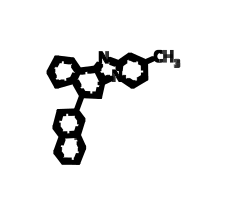 Cc1ccn2c(c1)nc1c3ccccc3c(-c3ccc4ccccc4c3)cc12